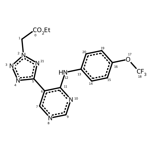 CCOC(=O)Cn1nnc(-c2cncnc2Nc2ccc(OC(F)(F)F)cc2)n1